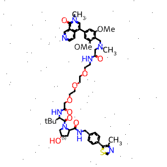 COc1cc(-c2cn(C)c(=O)c3cnccc23)cc(OC)c1CN(C)CC(=O)NCCOCCOCCOCC(=O)NC(C(=O)N1C[C@@H](O)CC1C(=O)NCc1ccc(-c2scnc2C)cc1)C(C)(C)C